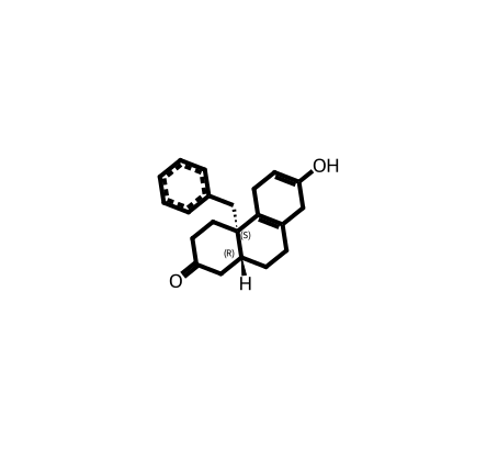 O=C1CC[C@@]2(Cc3ccccc3)C3=C(CC[C@@H]2C1)CC(O)=CC3